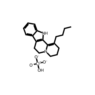 CCCCC1=C2c3[nH]c4ccccc4c3CCN2CCC1.[O-][Cl+3]([O-])([O-])O